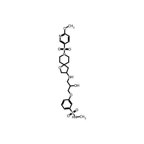 CNS(=O)(=O)c1cccc(OCC(O)CNC2COC3(CCN(S(=O)(=O)c4ccc(OC)nc4)CC3)C2)c1